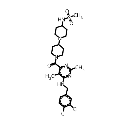 Cc1nc(NCc2ccc(Cl)c(Cl)c2)c(C)c(C(=O)N2CCC(N3CCC(NS(C)(=O)=O)CC3)CC2)n1